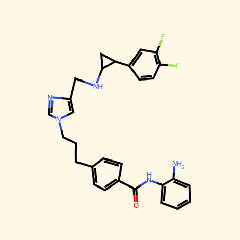 Nc1ccccc1NC(=O)c1ccc(CCCn2cnc(CNC3CC3c3ccc(F)c(F)c3)c2)cc1